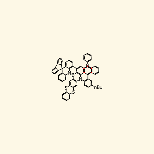 CCCCc1ccc(N2c3cc4c(cc3B3c5c(cc(N(c6ccccc6)c6ccccc6)cc52)-c2cccc5c2N3c2ccccc2C52c3ccccc3-c3ccccc32)Sc2ccccc2S4)c(-c2ccccc2)c1